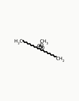 C=CCCCCCCCCCC(CCCCCCCCCC=C)S(=O)(=O)OCC